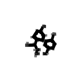 CCc1ccc(C#N)cc1.CCc1ccc(C(=N)NO)cc1